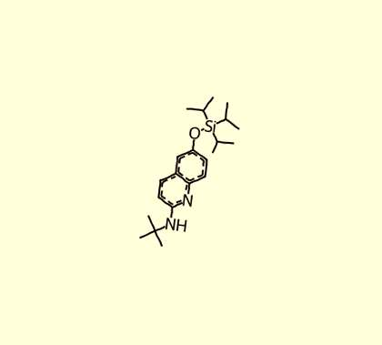 CC(C)[Si](Oc1ccc2nc(NC(C)(C)C)ccc2c1)(C(C)C)C(C)C